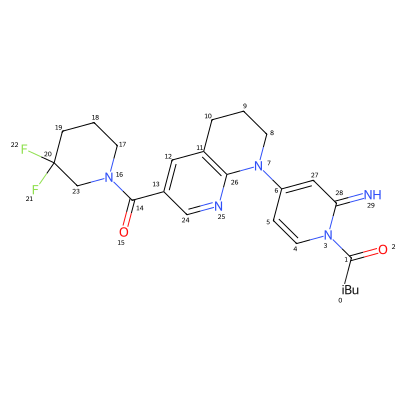 CCC(C)C(=O)n1ccc(N2CCCc3cc(C(=O)N4CCCC(F)(F)C4)cnc32)cc1=N